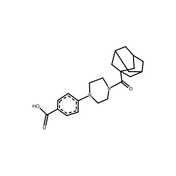 O=C(O)c1ccc(N2CCN(C(=O)C34CC5CC(CC(C5)C3)C4)CC2)cc1